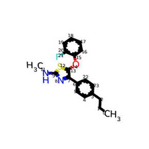 CCCc1ccc(-c2nc(NC)sc2Oc2ccccc2F)cc1